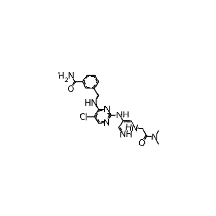 CN(C)C(=O)CN/C=C(\C=N)Nc1ncc(Cl)c(NCc2cccc(C(N)=O)c2)n1